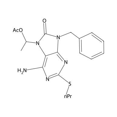 CCCSc1nc(N)c2c(n1)n(Cc1ccccc1)c(=O)n2C(C)OC(C)=O